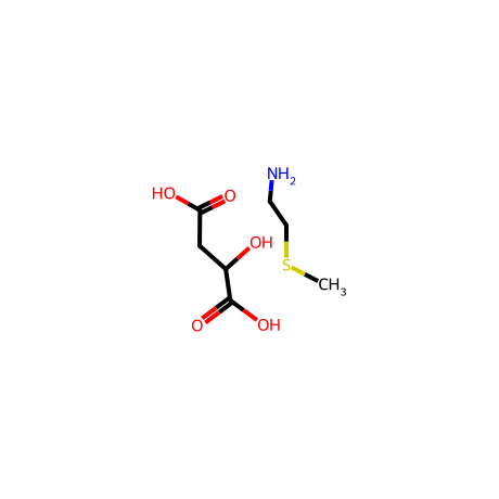 CSCCN.O=C(O)CC(O)C(=O)O